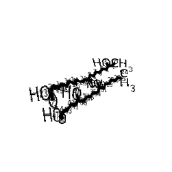 CCC(O)CCCCCCC(O)CCCC=CC=CC=CC(=O)O.CCCCCCCCC(O)CCCCCC(O)CCCCC(=O)O